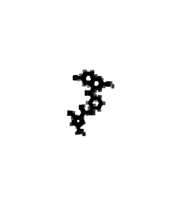 CCn1nc(C(F)(F)F)cc1C(=O)N[C@@H]1CCC[C@H](Nc2cc(C(F)(F)F)nc3ccc(Cl)cc23)C1